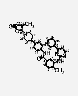 Cc1ccc(C(=O)Nc2ccc(C3CCN(c4oc(=O)oc4C)CC3)cc2)cc1Nc1nccc(-c2cccnc2)n1